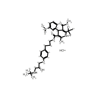 COC(=O)C1=C(C(F)(F)F)NC(C)=C(C(=O)OCCCc2ccc(OCC(O)CNC(C)(C)C)cc2)C1c1cccc([N+](=O)[O-])c1.Cl